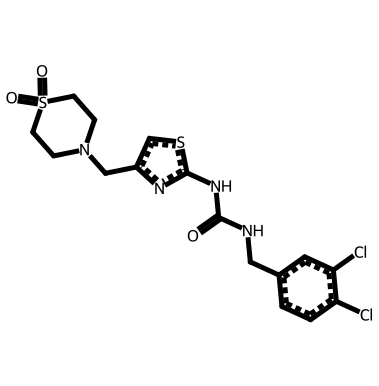 O=C(NCc1ccc(Cl)c(Cl)c1)Nc1nc(CN2CCS(=O)(=O)CC2)cs1